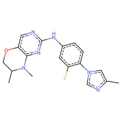 Cc1cn(-c2ccc(Nc3ncc4c(n3)N(C)C(C)CO4)cc2F)cn1